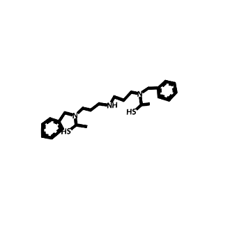 CC(S)N(CCCNCCCN(Cc1ccccc1)C(C)S)Cc1ccccc1